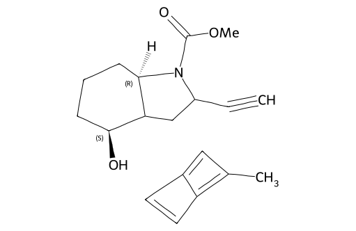 C#CC1CC2[C@@H](CCC[C@@H]2O)N1C(=O)OC.Cc1cc2ccc1-2